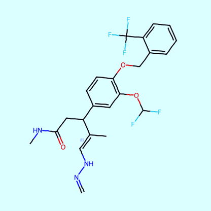 C=NN/C=C(\C)C(CC(=O)NC)c1ccc(OCc2ccccc2C(F)(F)F)c(OC(F)F)c1